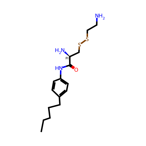 CCCCCc1ccc(NC(=O)[C@@H](N)CSSCCN)cc1